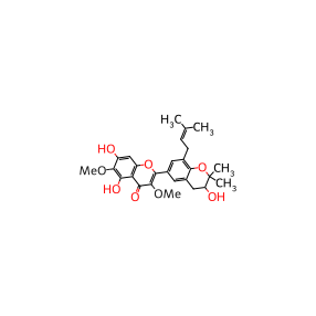 COc1c(O)cc2oc(-c3cc(CC=C(C)C)c4c(c3)CC(O)C(C)(C)O4)c(OC)c(=O)c2c1O